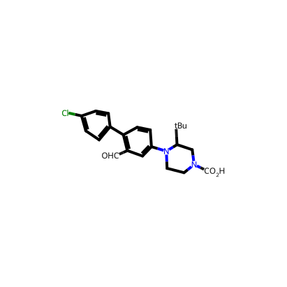 CC(C)(C)C1CN(C(=O)O)CCN1c1ccc(-c2ccc(Cl)cc2)c(C=O)c1